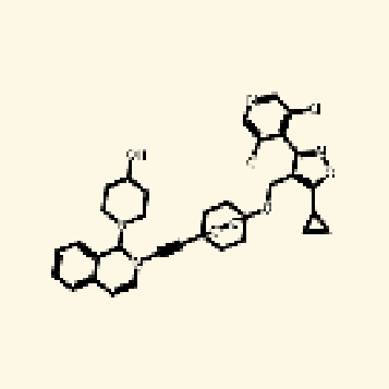 OC1CCN(C2c3ccccc3C=CN2C#CC23CCC(OCc4c(-c5c(Cl)cncc5Cl)noc4C4CC4)(CC2)CC3)CC1